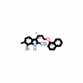 CCOC(=O)c1[nH]c2c(Br)c(C)ccc2c1[C@H](C)CCOc1cccc2ccccc12